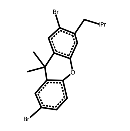 CC(C)Cc1cc2c(cc1Br)C(C)(C)c1cc(Br)ccc1O2